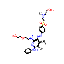 CCN(CCO)CCS(=O)(=O)c1ccc(/N=N/c2c(NCCOCCO)nc(Nc3ccccc3)c(C#N)c2C)cc1